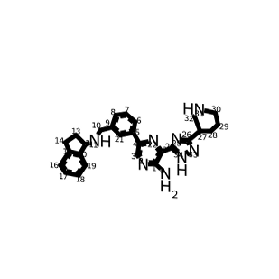 Nc1ncc(-c2cccc(CNC3CCc4ccccc43)c2)nc1-c1nc(C2CCCNC2)n[nH]1